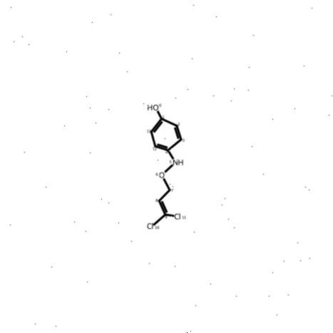 Oc1ccc(NOCC=C(Cl)Cl)cc1